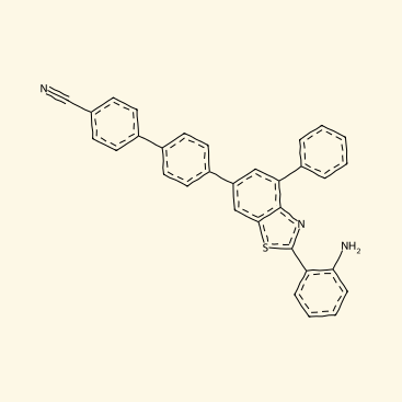 N#Cc1ccc(-c2ccc(-c3cc(-c4ccccc4)c4nc(-c5ccccc5N)sc4c3)cc2)cc1